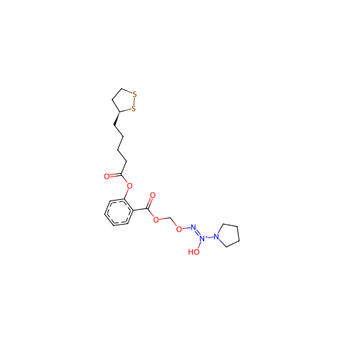 O=C(CCCC[C@H]1CCSS1)Oc1ccccc1C(=O)OCO/N=[N+](\O)N1CCCC1